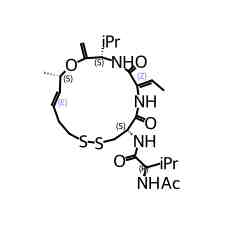 C=C1O[C@@H](C)/C=C/CCSSC[C@@H](NC(=O)[C@H](NC(C)=O)C(C)C)C(=O)N/C(=C\C)C(=O)N[C@H]1C(C)C